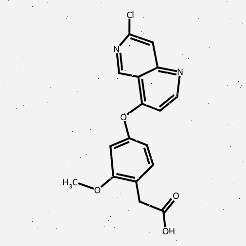 COc1cc(Oc2ccnc3cc(Cl)ncc23)ccc1CC(=O)O